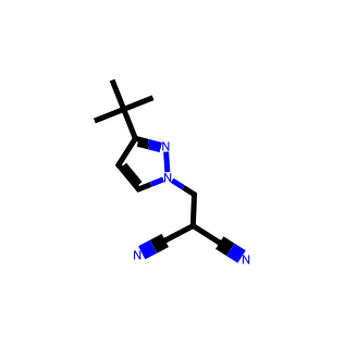 CC(C)(C)c1ccn(CC(C#N)C#N)n1